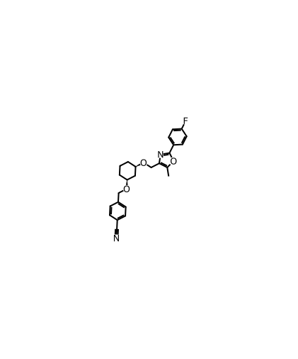 Cc1oc(-c2ccc(F)cc2)nc1CO[C@@H]1CCC[C@H](OCc2ccc(C#N)cc2)C1